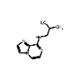 CC(C)CNc1nccn2ccnc12